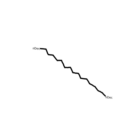 CCCCCCCCCCCCCCCCC[CH]CCCCCCCCCCCCCCCCC